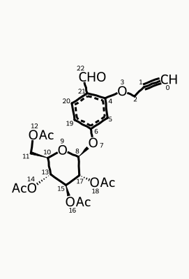 C#CCOc1cc(O[C@@H]2O[C@H](COC(C)=O)[C@@H](OC(C)=O)[C@H](OC(C)=O)[C@H]2OC(C)=O)ccc1C=O